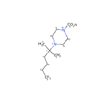 CC(C)(CCCC(F)(F)F)N1CCN(C(=O)O)CC1